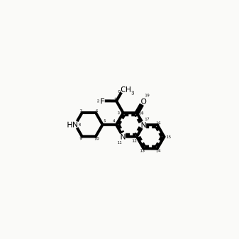 CC(F)c1c(C2CCNCC2)nc2ccccn2c1=O